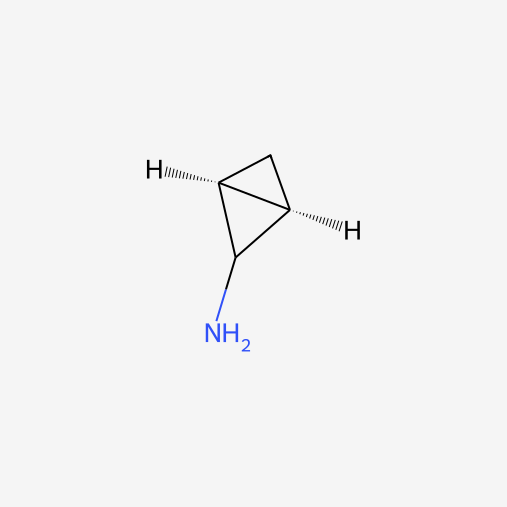 NC1[C@H]2C[C@@H]12